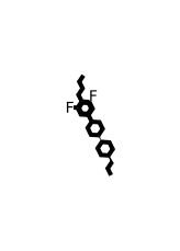 CCCCc1c(F)cc(C2CCC([C@H]3CC[C@H](CCC)CC3)CC2)cc1F